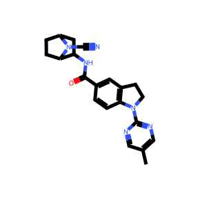 Cc1cnc(N2CCc3cc(C(=O)NC4CC5CCC4N5C#N)ccc32)nc1